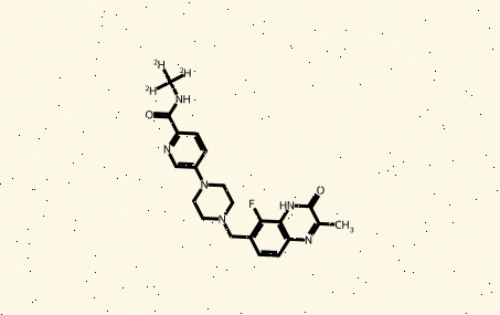 [2H]C([2H])([2H])NC(=O)c1ccc(N2CCN(Cc3ccc4nc(C)c(=O)[nH]c4c3F)CC2)cn1